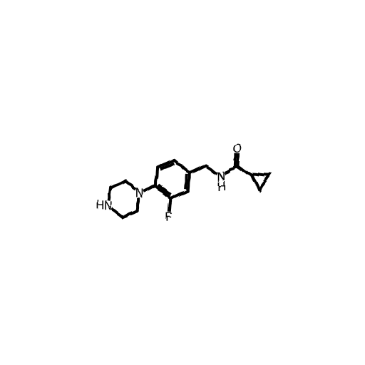 O=C(NCc1ccc(N2CCNCC2)c(F)c1)C1CC1